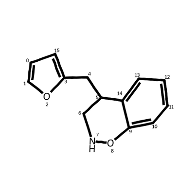 c1coc(CC2CNOc3ccccc32)c1